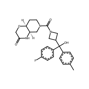 Cc1ccc(C(O)(c2ccc(F)cc2)C2CN(C(=O)N3CC[C@@H]4OCC(=O)N[C@@H]4C3)C2)cc1